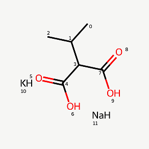 CC(C)C(C(=O)O)C(=O)O.[KH].[NaH]